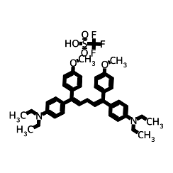 CCN(CC)c1ccc(C(=CCC=C(c2ccc(OC)cc2)c2ccc(N(CC)CC)cc2)c2ccc(OC)cc2)cc1.O=S(=O)(O)C(F)(F)F